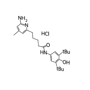 Cc1cc(N)nc(CCCCC(=O)Nc2cc(C(C)(C)C)c(O)c(C(C)(C)C)c2)c1.Cl